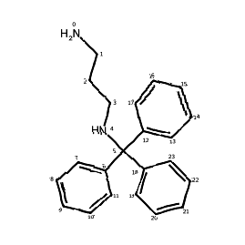 NCCCNC(c1ccccc1)(c1ccccc1)c1ccccc1